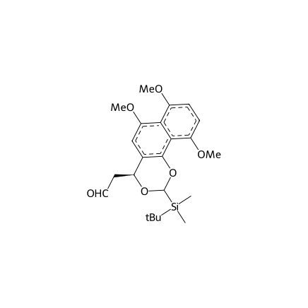 COc1ccc(OC)c2c3c(cc(OC)c12)[C@H](CC=O)OC([Si](C)(C)C(C)(C)C)O3